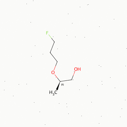 C[C@H]([CH]O)OCCCF